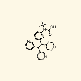 CC(C)(C)N(C(=O)O)c1cccc(C(C(c2cccnc2)c2cccnc2)N2CCOCC2)n1